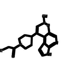 N#CCC(=O)N1CCC(C2=CB(O)Oc3cnc4[nH]ccc4c32)CC1